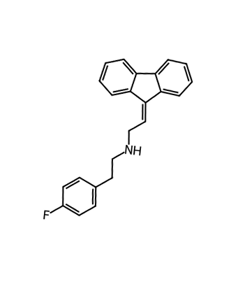 Fc1ccc(CCNCC=C2c3ccccc3-c3ccccc32)cc1